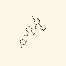 CCC1[C@@H](COc2ccc(F)cn2)CCCN1C(=O)c1cc(F)ccc1-n1nccn1